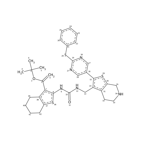 C=C(OC(C)(C)C)c1c(NC(=O)NCc2c(-c3cnc(Sc4ccccc4)nc3)sc3c2CCNC3)sc2c1CCCC2